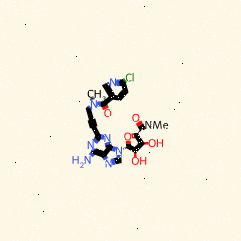 CNC(=O)[C@H]1O[C@@H](n2cnc3c(N)nc(C#CCN(C)C(=O)c4ccc(Cl)nc4)nc32)[C@H](O)[C@@H]1O